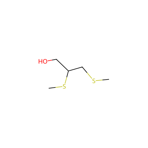 CSCC(CO)SC